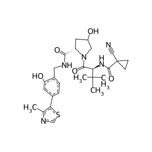 Cc1ncsc1-c1ccc(CNC(=O)[C@@H]2CC(O)CN2C(=O)[C@@H](NC(=O)C2(C#N)CC2)C(C)(C)C)c(O)c1